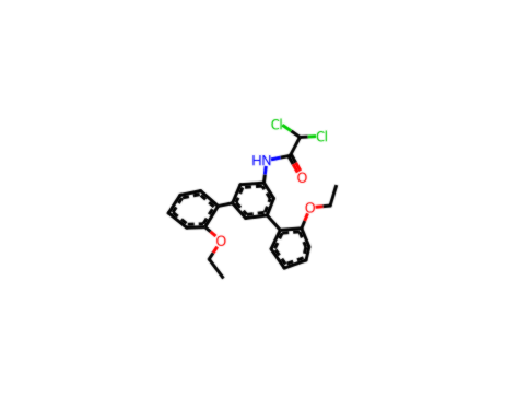 CCOc1ccccc1-c1cc(NC(=O)C(Cl)Cl)cc(-c2ccccc2OCC)c1